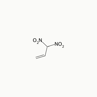 C=C[C]([N+](=O)[O-])[N+](=O)[O-]